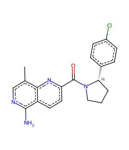 Cc1cnc(N)c2ccc(C(=O)N3CCC[C@H]3c3ccc(Cl)cc3)nc12